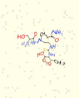 CC(O)[C@H](NC(=S)N[C@@H](CC(N)=O)CN(C)NC(=O)[C@@H](N)CO)C(=O)O